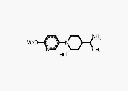 COc1ccc(N2CCC(C(C)N)CC2)cn1.Cl